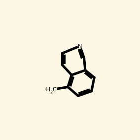 [CH2]c1cccc2cnccc12